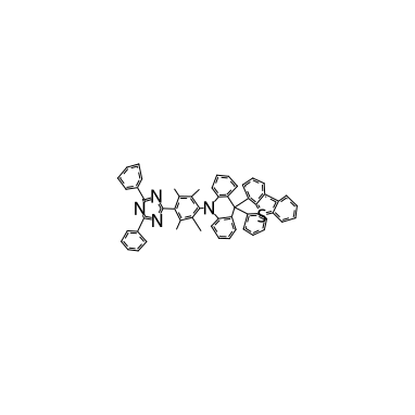 Cc1c(C)c(N2c3ccccc3C(c3ccccc3)(c3cccc4c3sc3ccccc34)c3ccccc32)c(C)c(C)c1-c1nc(-c2ccccc2)nc(-c2ccccc2)n1